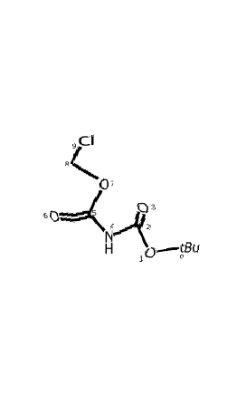 CC(C)(C)OC(=O)NC(=O)OCCl